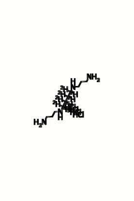 Cl.Cl.Cl.Cl.[2H]C([2H])(NCCCN)C([2H])([2H])C([2H])([2H])C([2H])([2H])NCCCN